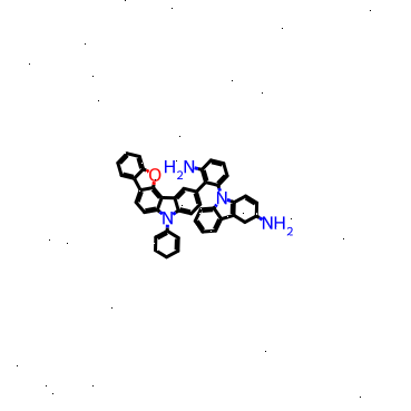 Nc1cccc(-n2c3c(c4ccccc42)CC(N)C=C3)c1-c1ccc2c(c1)c1c3oc4ccccc4c3ccc1n2C1=CCCC=C1